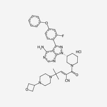 CC(C)(C=C(C#N)C(=O)N1CCC[C@@H](n2nc(-c3ccc(Oc4ccccc4)cc3F)c3c(N)ncnc32)C1)N1CCN(C2COC2)CC1.Cl